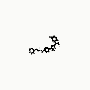 CC1(C)OC(=C2C(=O)Nc3ccc(F)cc32)C=C1c1ccc(CNCCN2CCOCC2)cc1